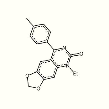 CCn1c(=O)nc(-c2ccc(C)cc2)c2cc3c(cc21)OCO3